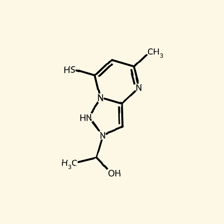 CC1=NC2=CN(C(C)O)NN2C(S)=C1